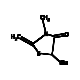 C=C1SC(C(C)(C)C)C(=O)N1C